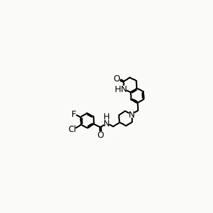 O=C1CCc2ccc(CN3CCC(CNC(=O)c4ccc(F)c(Cl)c4)CC3)cc2N1